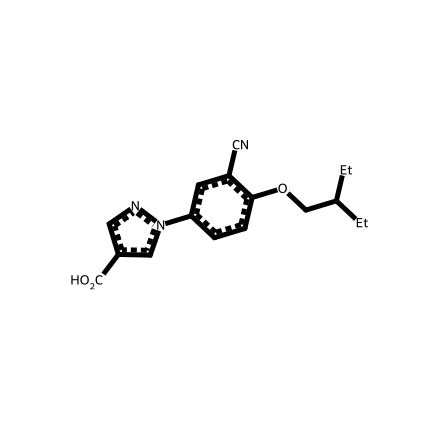 CCC(CC)COc1ccc(-n2cc(C(=O)O)cn2)cc1C#N